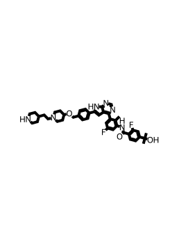 Cc1c(NC(=O)c2ccc(C(C)(C)O)cc2F)cc(F)cc1-c1ncnc2[nH]c(-c3ccc(COC4CCN(CCC5CCNCC5)CC4)cc3)cc12